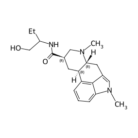 CCC(CO)NC(=O)[C@@H]1C[C@@H]2c3cccc4c3c(cn4C)C[C@H]2N(C)C1